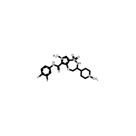 CN1CCC(C2COc3c(cn(C)c3C(=O)Nc3ccc(F)c(F)c3)S(=O)(=O)N2)CC1